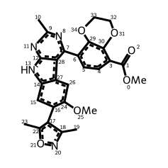 COC(=O)c1ccc(-c2nc(C)nc3[nH]c4cc(-c5c(C)noc5C)c(OC)cc4c23)c2c1OCCO2